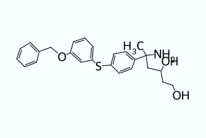 CC(N)(CC(O)CCO)c1ccc(Sc2cccc(OCc3ccccc3)c2)cc1